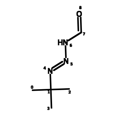 CC(C)(C)N=NNC=O